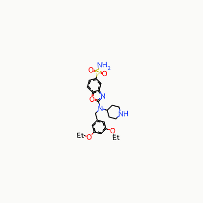 CCOc1cc(CN(c2nc3cc(S(N)(=O)=O)ccc3o2)C2CCNCC2)cc(OCC)c1